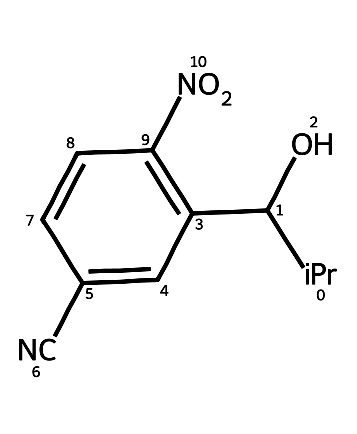 CC(C)C(O)c1cc(C#N)ccc1[N+](=O)[O-]